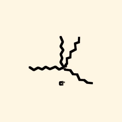 CCCCCCCC[P+](CCCCCCC)(CCCCCCCC)CCCCCCCC.[Cl-]